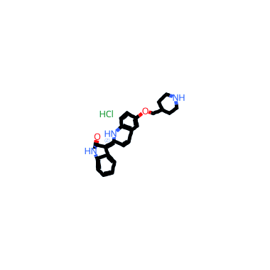 Cl.O=C1Nc2ccccc2/C1=C1\C=Cc2cc(OCC3CCNCC3)ccc2N1